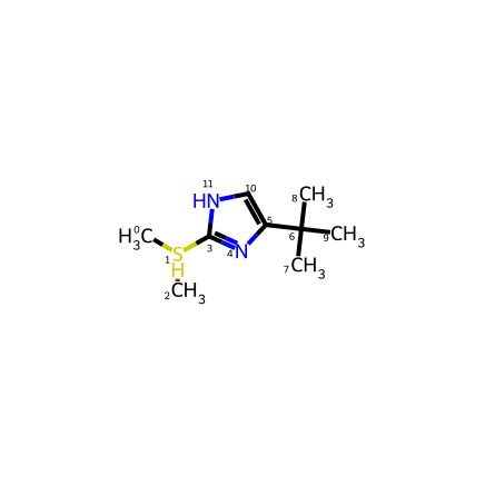 C[SH](C)c1nc(C(C)(C)C)c[nH]1